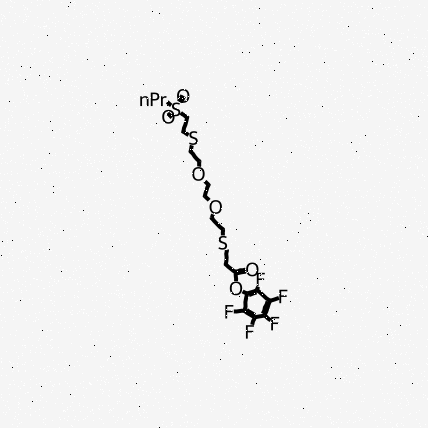 CCCS(=O)(=O)CCSCCOCCOCCSCCC(=O)Oc1c(F)c(F)c(F)c(F)c1F